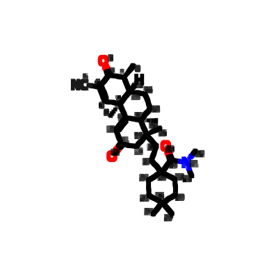 C[C@@H]1C(=O)C(C#N)=C[C@]2(C)C3=CC(=O)C[C@@](C)(CCC4(C(=O)N(C)C)CCC(C)(C)CC4)[C@]3(C)CC[C@@H]12